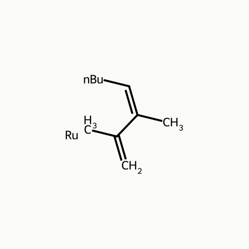 C=C(C)C(C)=CCCCC.[Ru]